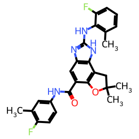 Cc1cc(NC(=O)c2cc3nc(Nc4c(C)cccc4F)[nH]c3c3c2OC(C)(C)C3)ccc1F